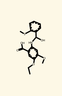 CCOc1cc(C(=O)O)c(NC(O)c2ccccc2SC)cc1OC